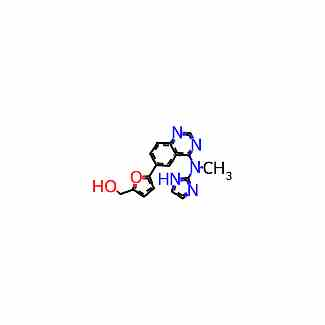 CN(c1ncc[nH]1)c1ncnc2ccc(-c3ccc(CO)o3)cc12